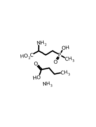 CCCC(=O)O.CP(=O)(O)CCC(N)C(=O)O.N